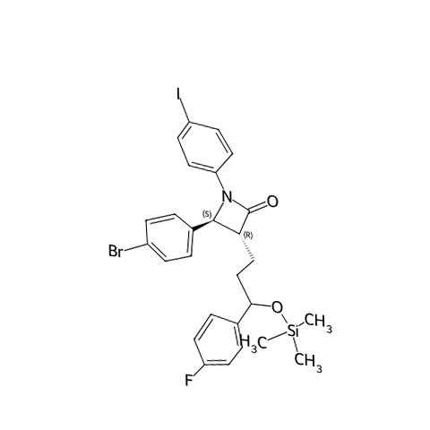 C[Si](C)(C)OC(CC[C@H]1C(=O)N(c2ccc(I)cc2)[C@@H]1c1ccc(Br)cc1)c1ccc(F)cc1